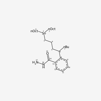 CCCCCCC[CH2][Sn]([CH2]CCCCCCC)[CH2]CCC(CCCC)c1ccccc1C(=O)NN